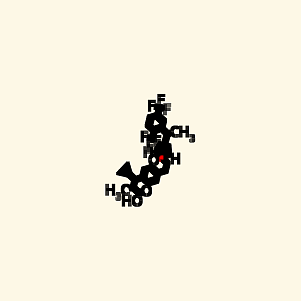 CC(C(=O)O)C(c1ccc2c(c1)OC1(CC2)[C@@H]2CC[C@H]1CN(C(C)c1cc(C(F)(F)F)ccc1C(F)(F)F)C2)C1CC1